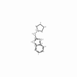 c1ccc2oc(ON3CCCC3)nc2c1